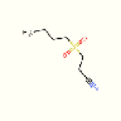 CCCCS(=O)(=O)CCC#N